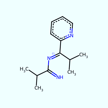 CC(C)C(=N)/N=C(/c1ccccn1)C(C)C